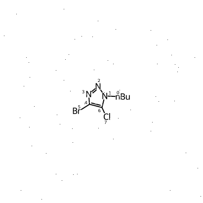 CCCCn1nnc(Br)c1Cl